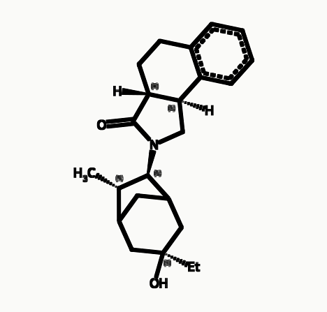 CC[C@]1(O)CC2CC(C1)[C@H](N1C[C@@H]3c4ccccc4CC[C@H]3C1=O)[C@H]2C